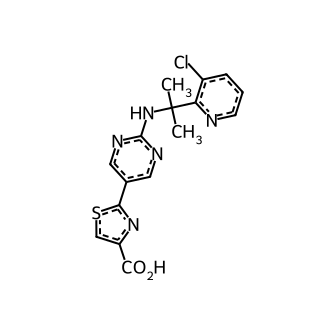 CC(C)(Nc1ncc(-c2nc(C(=O)O)cs2)cn1)c1ncccc1Cl